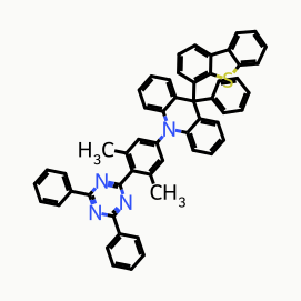 Cc1cc(N2c3ccccc3C(c3ccccc3)(c3cccc4c3sc3ccccc34)c3ccccc32)cc(C)c1-c1nc(-c2ccccc2)nc(-c2ccccc2)n1